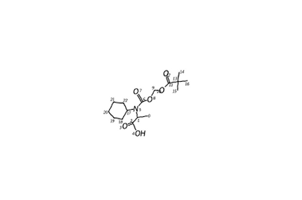 CC(C(=O)O)N(C(=O)OCOC(=O)C(C)(C)C)C1CCCCC1